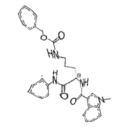 Cn1cc(C(=O)N[C@@H](CCCNC(=O)OCc2ccccc2)C(=O)Nc2[c]cccc2)c2ccccc21